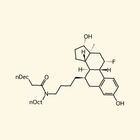 CCCCCCCCCCCC(=O)N(CCCCCCCC)CCCC[C@@H]1Cc2cc(O)ccc2[C@@H]2[C@@H]1[C@@H]1CC[C@H](O)[C@@]1(C)C[C@@H]2F